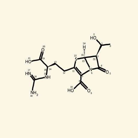 CC(O)[C@H]1C(=O)N2C(C(=O)O)=C(CC[C@@H](NC(=N)N)C(=O)O)S[C@@H]12